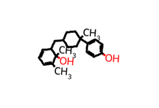 CC1=CC=CC(CC2CCC(C)(c3ccc(O)cc3)CC2)C1(C)O